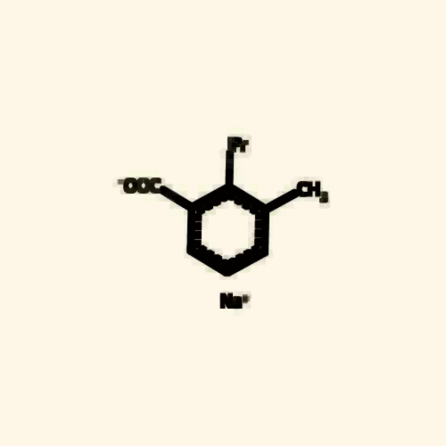 Cc1cccc(C(=O)[O-])c1C(C)C.[Na+]